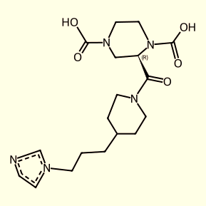 O=C(O)N1CCN(C(=O)O)[C@@H](C(=O)N2CCC(CCCn3ccnc3)CC2)C1